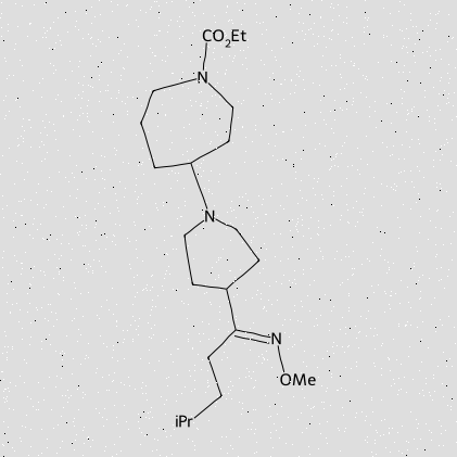 CCOC(=O)N1CCCC(N2CCC(C(CCC(C)C)=NOC)CC2)CC1